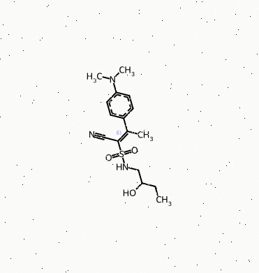 CCC(O)CNS(=O)(=O)/C(C#N)=C(\C)c1ccc(N(C)C)cc1